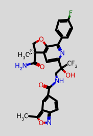 Cc1onc2ccc(C(=O)NCC(O)(c3cc4c(c(-c5ccc(F)cc5)n3)OC[C@]4(C)C(N)=O)C(F)(F)F)cc12